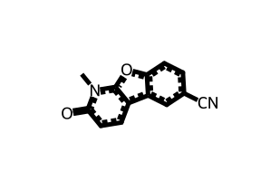 Cn1c(=O)ccc2c3cc(C#N)ccc3oc21